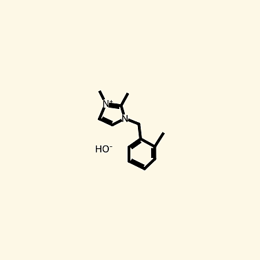 Cc1ccccc1Cn1cc[n+](C)c1C.[OH-]